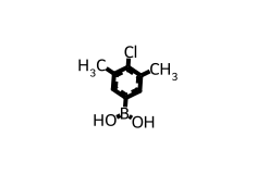 Cc1cc(B(O)O)cc(C)c1Cl